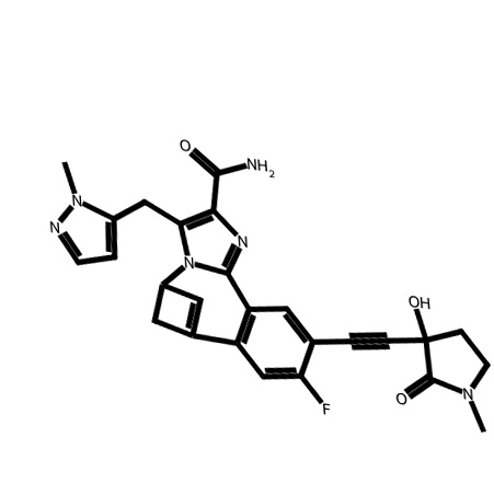 CN1CCC(O)(C#Cc2cc3c(cc2F)C2=CC(C2)n2c-3nc(C(N)=O)c2Cc2ccnn2C)C1=O